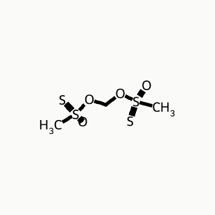 CS(=O)(=S)OCOS(C)(=O)=S